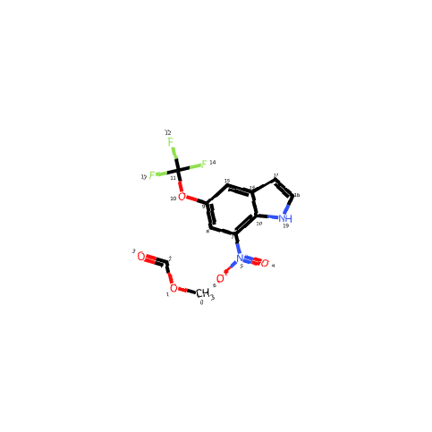 COC=O.O=[N+]([O-])c1cc(OC(F)(F)F)cc2cc[nH]c12